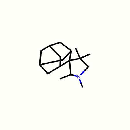 CC1N(C)CC(C)(C)C12C1CC3CC(C1)CC2C3